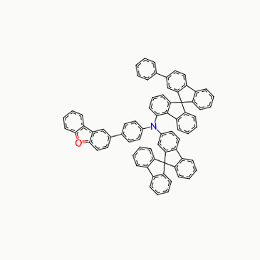 c1ccc(-c2ccc3c(c2)C2(c4ccccc4-3)c3ccccc3-c3c(N(c4ccc(-c5ccc6oc7ccccc7c6c5)cc4)c4ccc5c(c4)C4(c6ccccc6-c6ccccc64)c4ccccc4-5)cccc32)cc1